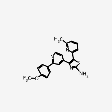 Cc1cccc(-c2sc(N)nc2-c2ccnc(-c3ccc(OC(F)(F)F)cc3)c2)n1